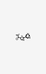 CN(C)C(=O)C1CN=C(c2cncnc2)S1